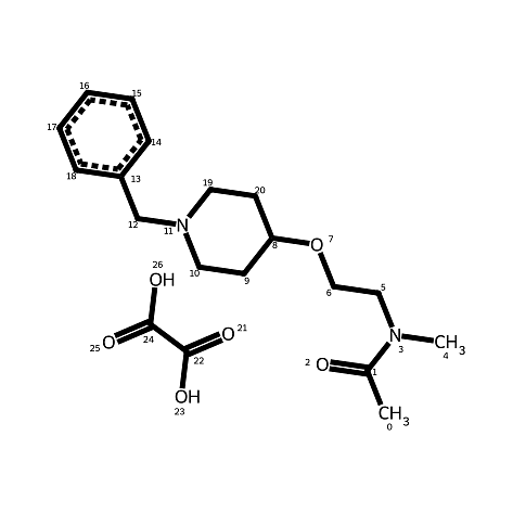 CC(=O)N(C)CCOC1CCN(Cc2ccccc2)CC1.O=C(O)C(=O)O